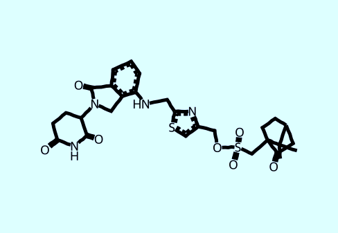 CC1(C)C2CCC1(CS(=O)(=O)OCc1csc(CNc3cccc4c3CN(C3CCC(=O)NC3=O)C4=O)n1)C(=O)C2